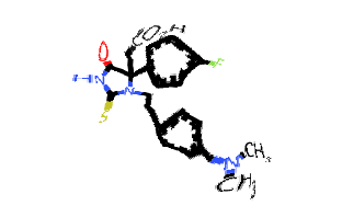 CN(C)c1ccc(CCN2C(=S)NC(=O)C2(CC(=O)O)c2ccc(F)cc2)cc1